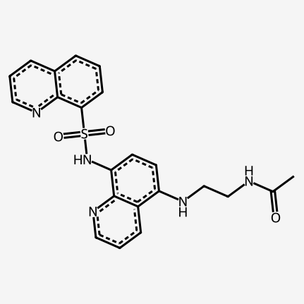 CC(=O)NCCNc1ccc(NS(=O)(=O)c2cccc3cccnc23)c2ncccc12